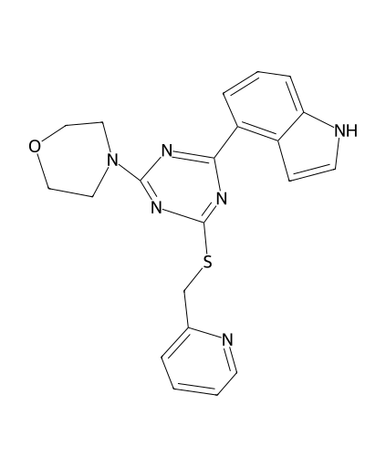 c1ccc(CSc2nc(-c3cccc4[nH]ccc34)nc(N3CCOCC3)n2)nc1